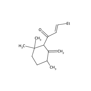 C=C1C(C)CCC(C)(C)C1C(=O)/C=C/CC